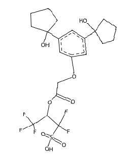 O=C(COc1cc(C2(O)CCCC2)cc(C2(O)CCCC2)c1)OC(C(F)(F)F)C(F)(F)S(=O)(=O)O